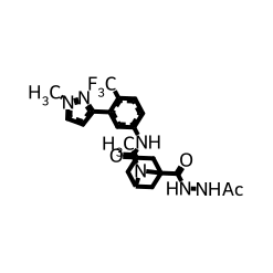 CC(=O)NNC(=O)C12CC(C)CC(C1)N2C(=O)Nc1ccc(C(F)(F)F)c(-c2ccn(C)n2)c1